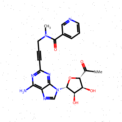 CNC(=O)[C@H]1O[C@@H](n2cnc3c(N)nc(C#CCN(C)C(=O)c4cccnc4)nc32)[C@H](O)[C@@H]1O